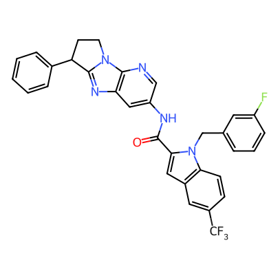 O=C(Nc1cnc2c(c1)nc1n2CCC1c1ccccc1)c1cc2cc(C(F)(F)F)ccc2n1Cc1cccc(F)c1